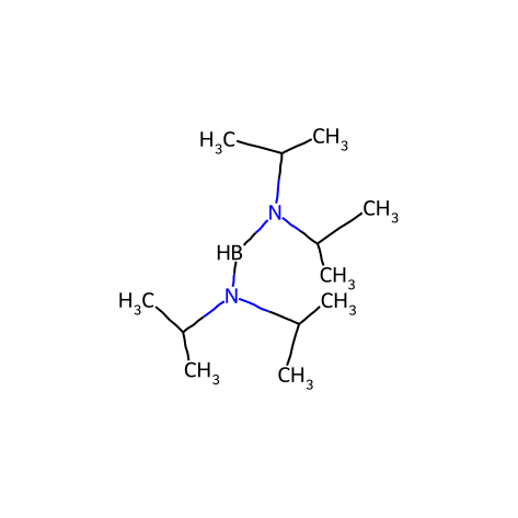 CC(C)N(BN(C(C)C)C(C)C)C(C)C